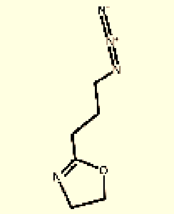 [N-]=[N+]=NCCCC1=NCCO1